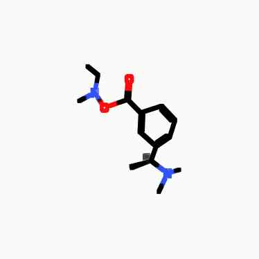 CCN(C)OC(=O)c1cccc([C@H](C)N(C)C)c1